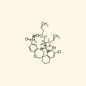 C=CC[C@H](CC)S(=O)(=O)[N@@+]1(C[C@@H]2CC[C@H]2[C@@H](O)CC=C)CC2(CCCc3cc(Cl)ccc32)COc2ccc(C(N)=O)cc21